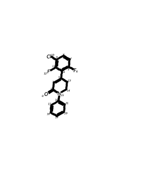 O=C1C=C(c2c(F)ccc(Cl)c2F)CCN1c1[c]cccc1